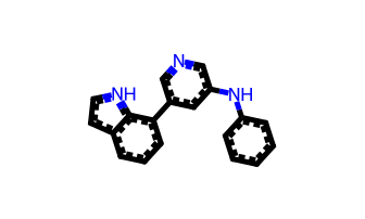 c1ccc(Nc2cncc(-c3cccc4cc[nH]c34)c2)cc1